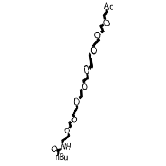 CCCCC(=O)NCCOCCOCCOCCOCCOCCOCCOCCOCCC(C)=O